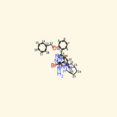 Nc1nnc(-c2ccccc2OCc2ccccc2)cc1N1CC2CCC(C1)N2c1ccnc(Br)n1